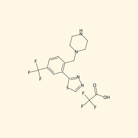 FC(F)(F)c1ccc(CN2CCNCC2)c(-c2nncs2)c1.O=C(O)C(F)(F)F